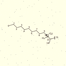 CCCCCCCCCC[Si](C)(C)C(C)I